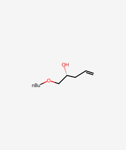 C=CC[C@@H](O)COCCCC